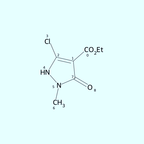 CCOC(=O)c1c(Cl)[nH]n(C)c1=O